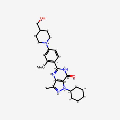 COc1cc(N2CCC(CO)CC2)ccc1-c1nc2c(C)nn(C3CCCCC3)c2c(=O)[nH]1